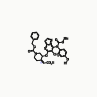 CCOc1ccc(N(C(=O)OC(C)(C)C)c2c(C)c(OC3CN(C(=O)OCc4ccccc4)CC/C3=C/C(=O)O)nc3ccnn23)cc1